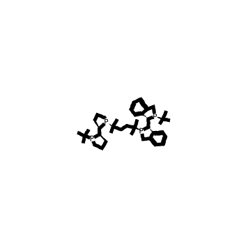 CC(C)(C)P1CCC[C@@H]1[C@H]1CCC[P@]1C(C)(C)CCC(C)(C)[P@]1Cc2ccccc2[C@H]1[C@@H]1c2ccccc2C[P@@]1C(C)(C)C